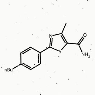 CCCCc1ccc(-c2nc(C)c(C(N)=O)s2)cc1